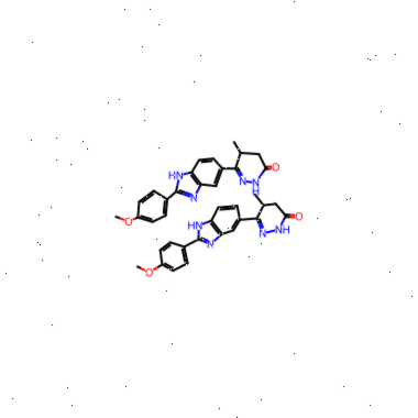 COc1ccc(-c2nc3cc(C4=NNC(=O)CC4C)ccc3[nH]2)cc1.COc1ccc(-c2nc3cc(C4=NNC(=O)CC4C)ccc3[nH]2)cc1